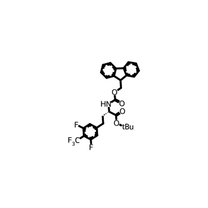 CC(C)(C)OC(=O)[C@H](CCc1cc(F)c(C(F)(F)F)c(F)c1)NC(=O)OCC1c2ccccc2-c2ccccc21